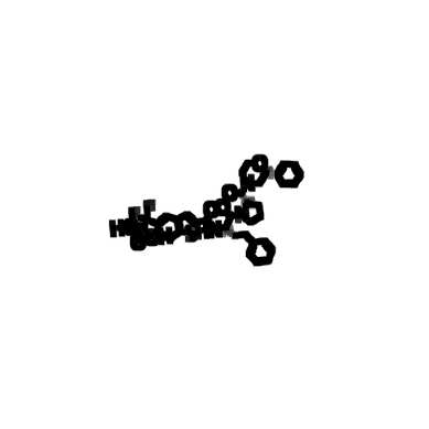 O=C(N[C@@H](CCc1ccccc1)C(=O)N1CCC[C@H]1C(=O)N1CCO[C@H](c2ccccc2)C1)c1cc2cc(C(F)(F)P(=O)(O)O)ccc2s1